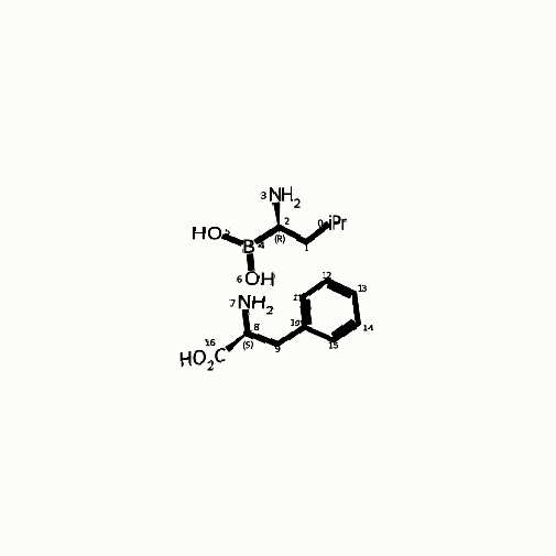 CC(C)C[C@H](N)B(O)O.N[C@@H](Cc1ccccc1)C(=O)O